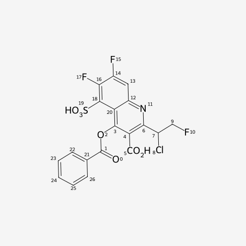 O=C(Oc1c(C(=O)O)c(C(Cl)CF)nc2cc(F)c(F)c(S(=O)(=O)O)c12)c1ccccc1